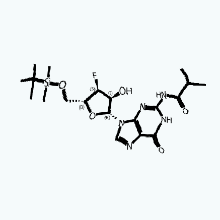 CC(C)C(=O)Nc1nc2c(ncn2[C@@H]2O[C@H](CO[Si](C)(C)C(C)(C)C)[C@@H](F)[C@H]2O)c(=O)[nH]1